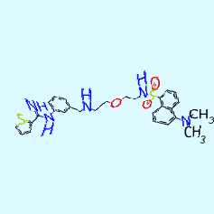 CN(C)c1cccc2c(S(=O)(=O)NCCOCCNCc3cccc(NC(=N)c4cccs4)c3)cccc12